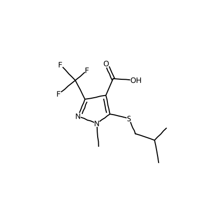 CC(C)CSc1c(C(=O)O)c(C(F)(F)F)nn1C